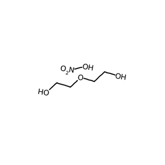 O=[N+]([O-])O.OCCOCCO